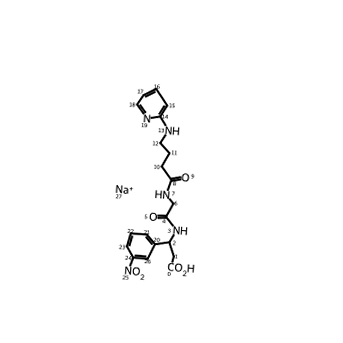 O=C(O)CC(NC(=O)CNC(=O)CCCNc1ccccn1)c1cccc([N+](=O)[O-])c1.[Na+]